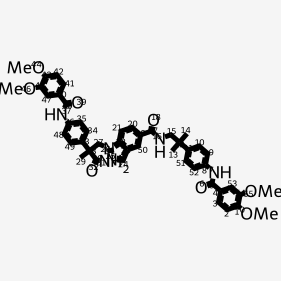 COc1ccc(C(=O)Nc2ccc(C(C)(C)CNC(=O)c3ccc4c(cnn4CC(C)(C(N)=O)c4ccc(NC(=O)c5ccc(OC)c(OC)c5)cc4)c3)cc2)cc1OC